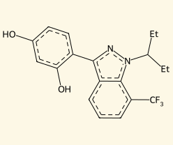 CCC(CC)n1nc(-c2ccc(O)cc2O)c2cccc(C(F)(F)F)c21